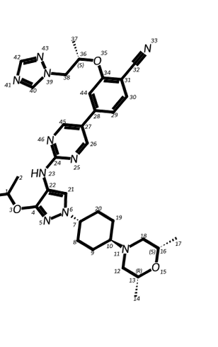 CC(C)Oc1nn([C@H]2CC[C@H](N3C[C@@H](C)O[C@@H](C)C3)CC2)cc1Nc1ncc(-c2ccc(C#N)c(O[C@@H](C)Cn3cncn3)c2)cn1